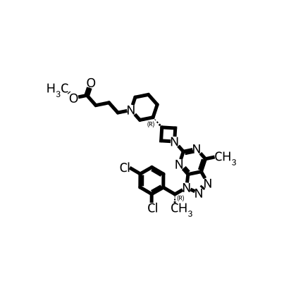 COC(=O)CCCN1CCC[C@H](C2CN(c3nc(C)c4nnn([C@H](C)c5ccc(Cl)cc5Cl)c4n3)C2)C1